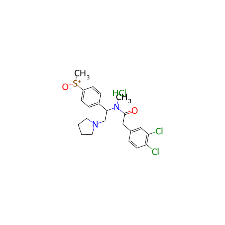 CN(C(=O)Cc1ccc(Cl)c(Cl)c1)C(CN1CCCC1)c1ccc([S+](C)[O-])cc1.Cl